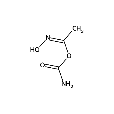 CC(=NO)OC(N)=O